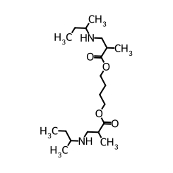 CCC(C)NCC(C)C(=O)OCCCCOC(=O)C(C)CNC(C)CC